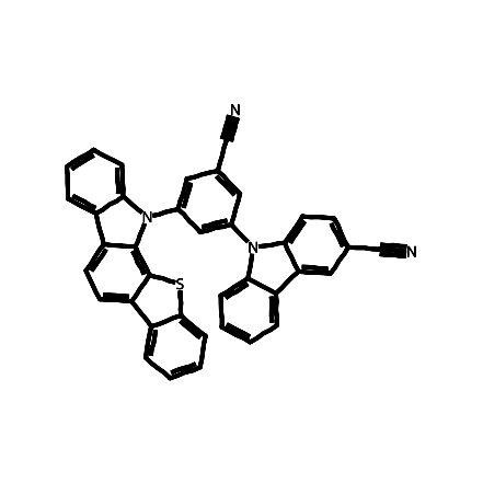 N#Cc1cc(-n2c3ccccc3c3cc(C#N)ccc32)cc(-n2c3ccccc3c3ccc4c5ccccc5sc4c32)c1